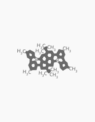 Cc1ccc2c(c1)-c1cc(C)cc3c1B2c1cc2c(C(C)(C)C)cc4c5c(cc6c(C(C)(C)C)cc-3c1c6c25)B1c2ccc(C)cc2-c2cc(C)cc-4c21